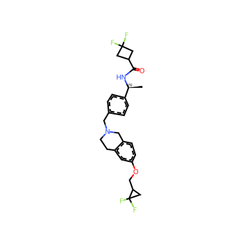 C[C@H](NC(=O)C1CC(F)(F)C1)c1ccc(CN2CCc3cc(OCC4CC4(F)F)ccc3C2)cc1